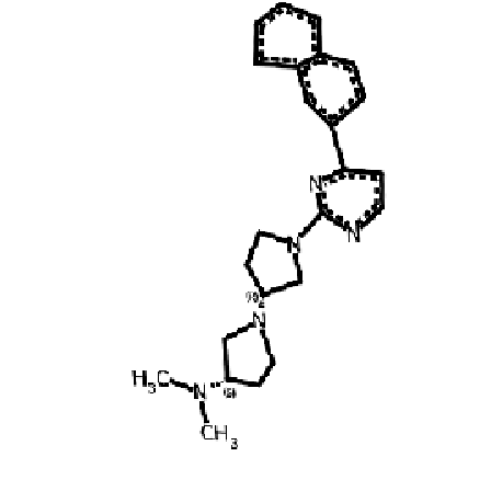 CN(C)[C@H]1CCN([C@@H]2CCN(c3nccc(-c4ccc5ccccc5c4)n3)C2)C1